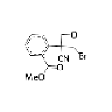 COC(=O)c1ccccc1C1(C#N)COC1Br